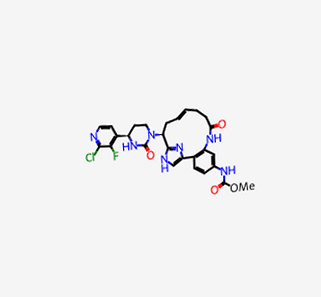 COC(=O)Nc1ccc2c(c1)NC(=O)CC/C=C/C[C@H](N1CC[C@H](c3ccnc(Cl)c3F)NC1=O)c1nc-2c[nH]1